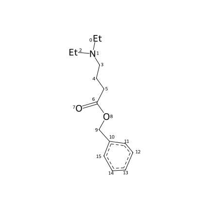 CCN(CC)CCCC(=O)OCc1ccccc1